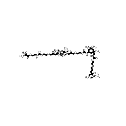 C=C(C)C(=O)OCCNC(=O)OCCOCCCC(C)(C)[Si](C)(C)OC(C)(C)[Si](C)(C)CCCOCCOC(=O)NC1CC(C)(C)CC(C)(CNC(=O)OCCOCCCC(C)(CC)[S+](C)[O-])C1